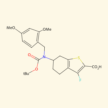 COc1ccc(CN(C(=O)OC(C)(C)C)C2CCc3c(sc(C(=O)O)c3F)C2)c(OC)c1